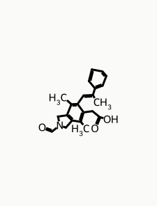 C/C(=C\c1c(C)c2c(c(C)c1CC(=O)O)CN(C=O)C2)c1ccccc1